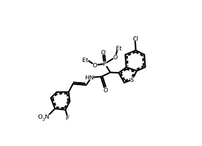 CCOP(=O)(OCC)C(C(=O)N/C=C/c1ccc([N+](=O)[O-])c(F)c1)c1csc2ccc(Cl)cc12